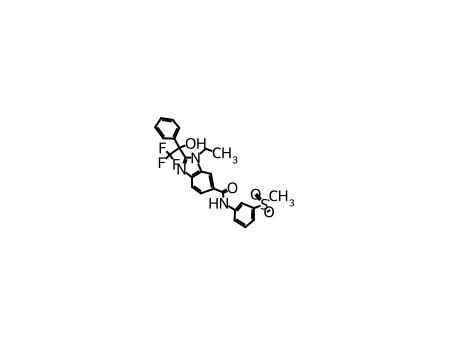 CCn1c(C(O)(c2ccccc2)C(F)(F)F)nc2ccc(C(=O)Nc3cccc(S(C)(=O)=O)c3)cc21